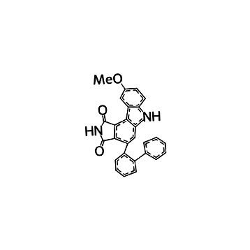 COc1ccc2[nH]c3cc(-c4ccccc4-c4ccccc4)c4c(c3c2c1)C(=O)NC4=O